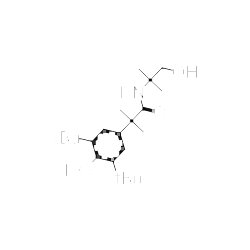 CC(C)(CO)NC(=O)C(C)(C)c1cc(C(C)(C)C)c(O)c(C(C)(C)C)c1